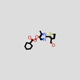 Cc1nc(-c2sccc2C=O)ncc1OOC(=O)C1CCCCC1